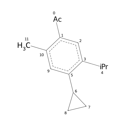 CC(=O)c1cc(C(C)C)c(C2CC2)cc1C